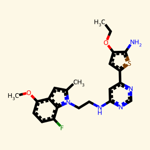 CCOc1cc(-c2cc(NCCn3c(C)cc4c(OC)ccc(F)c43)ncn2)sc1N